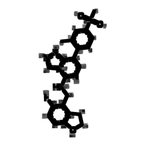 Cc1cc(S(C)(=O)=O)ccc1-c1cnc(NCc2c(F)ccc3c2CCO3)n2cnnc12